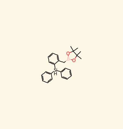 CC1(C)OB(Cc2ccccc2[SiH](c2ccccc2)c2ccccc2)OC1(C)C